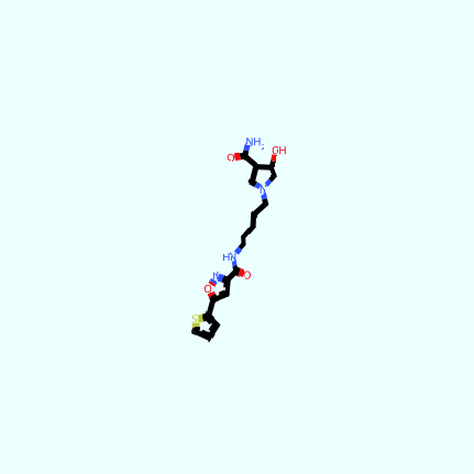 NC(=O)C1CN(CCCCCNC(=O)c2cc(-c3cccs3)on2)CC1O